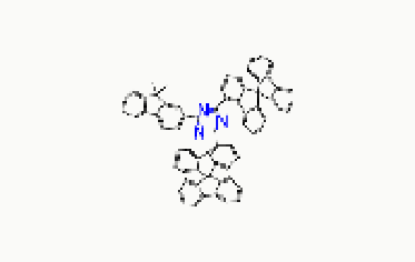 CC1(C)c2ccccc2-c2ccc(-c3nc(-c4cccc5c4-c4ccccc4C54c5ccccc5-c5ccccc54)nc(-c4cccc5c4-c4ccccc4C54c5ccccc5-c5ccccc54)n3)cc21